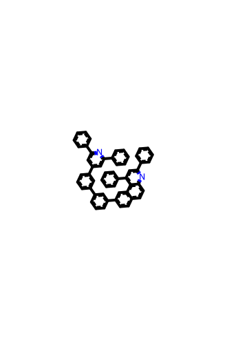 c1ccc(-c2cc(-c3cccc(-c4cccc(-c5ccc6ccc7nc(-c8ccccc8)cc(-c8ccccc8)c7c6c5)c4)c3)cc(-c3ccccc3)n2)cc1